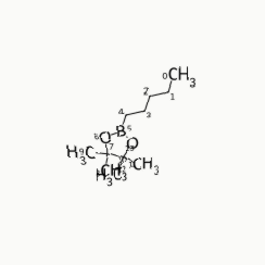 CCCCCB1OC(C)(C)C(C)(C)O1